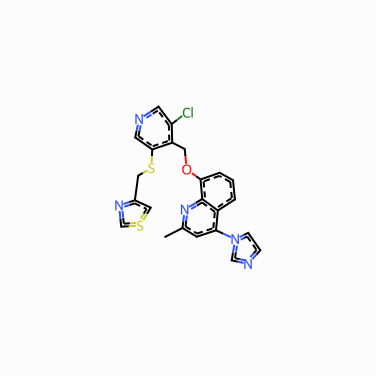 Cc1cc(-n2ccnc2)c2cccc(OCc3c(Cl)cncc3SCc3cscn3)c2n1